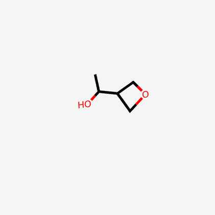 CC(O)C1COC1